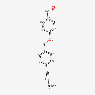 CCCCCCC#Cc1ccc(COc2ccc(CO)cc2)cc1